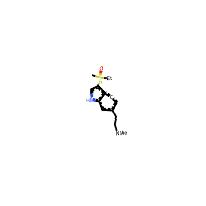 CC[SH](C)(=O)c1c[nH]c2cc(CCNC)ccc12